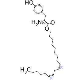 CCCCC/C=C\C/C=C\CCCCCCCCOC(=O)[C@@H](N)Cc1ccc(O)cc1